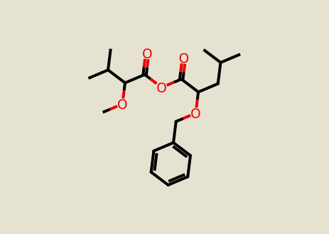 COC(C(=O)OC(=O)C(CC(C)C)OCc1ccccc1)C(C)C